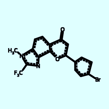 Cn1c(C(F)(F)F)nc2c3oc(-c4ccc(Br)cc4)cc(=O)c3ccc21